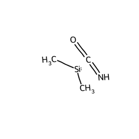 C[Si]C.N=C=O